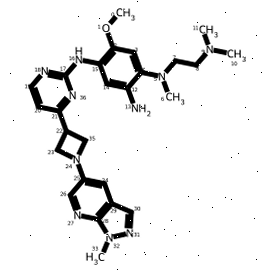 COc1cc(N(C)CCN(C)C)c(N)cc1Nc1nccc(C2CN(c3cnc4c(cnn4C)c3)C2)n1